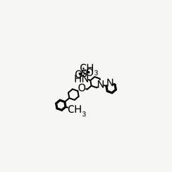 Cc1ccccc1C1CCC(OCC2CN(c3ccccn3)CCC2NS(C)(=O)=O)CC1